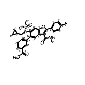 CNC(=O)c1c(-c2ccc(F)cc2)oc2cc(N(CC3CC3)S(C)(=O)=O)c(-c3cccc(C(=O)O)c3)cc12